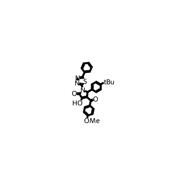 COc1ccc(C(=O)C2=C(O)C(=O)N(c3nnc(-c4ccccc4)s3)C2c2ccc(C(C)(C)C)cc2)cc1